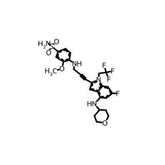 COc1cc(S(N)(=O)=O)ccc1NCC#Cc1cc2c(NC3CCOCC3)cc(F)cc2n1CC(F)(F)F